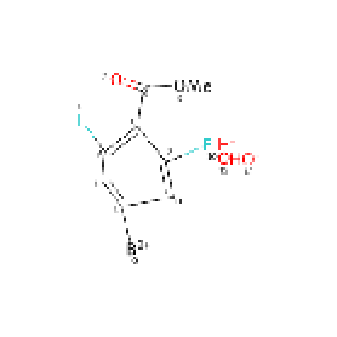 [B+2]c1cc(F)c(C(=O)OC)c(F)c1.[OH-].[OH-]